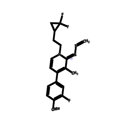 C=N/N=c1/c(C)c(-c2ccc(OC)c(F)c2)ccn1CCC1CC1(F)F